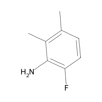 Cc1ccc(F)c(N)c1C